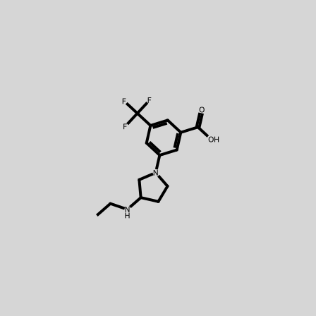 CCNC1CCN(c2cc(C(=O)O)cc(C(F)(F)F)c2)C1